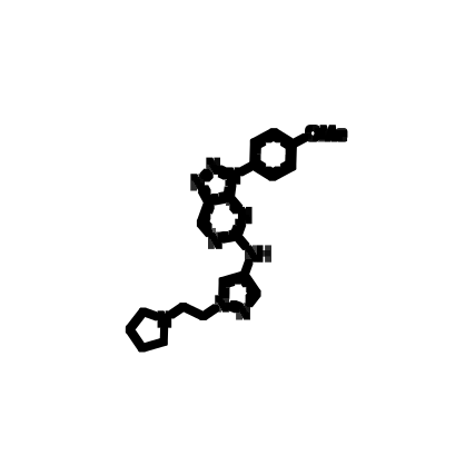 COc1ccc(-n2nnc3cnc(Nc4cnn(CCN5CCCC5)c4)nc32)cc1